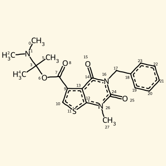 CN(C)C(C)(C)OC(=O)c1csc2c1c(=O)n(Cc1ccccc1)c(=O)n2C